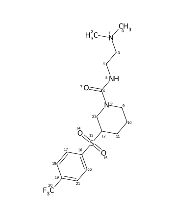 CN(C)CCNC(=O)N1CCCC(S(=O)(=O)c2ccc(C(F)(F)F)cc2)C1